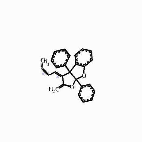 C=C1OC2(c3ccccc3)Oc3ccccc3C2(c2ccccc2)/C1=C/C=C\C